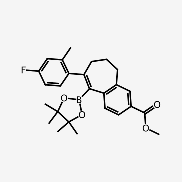 COC(=O)c1ccc2c(c1)CCCC(c1ccc(F)cc1C)=C2B1OC(C)(C)C(C)(C)O1